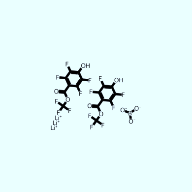 O=C(OC(F)(F)F)c1c(F)c(F)c(O)c(F)c1F.O=C(OC(F)(F)F)c1c(F)c(F)c(O)c(F)c1F.[Li+].[Li+].[Li+].[O-]B([O-])[O-]